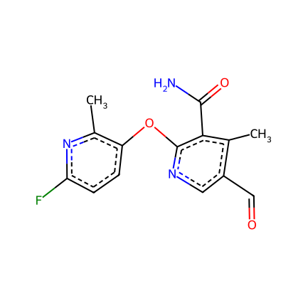 Cc1nc(F)ccc1Oc1ncc(C=O)c(C)c1C(N)=O